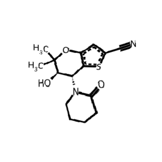 CC1(C)Oc2cc(C#N)sc2[C@H](N2CCCCC2=O)[C@H]1O